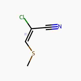 CS/C=C(/Cl)C#N